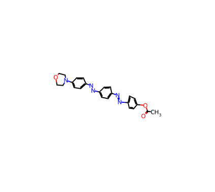 CC(=O)Oc1ccc(N=Nc2ccc(N=Nc3ccc(N4CCOCC4)cc3)cc2)cc1